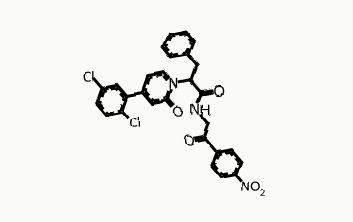 O=C(CNC(=O)C(Cc1ccccc1)n1ccc(-c2cc(Cl)ccc2Cl)cc1=O)c1ccc([N+](=O)[O-])cc1